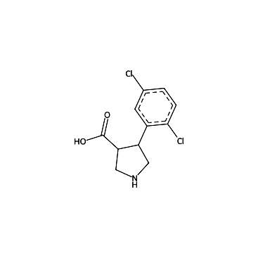 O=C(O)C1CNCC1c1cc(Cl)ccc1Cl